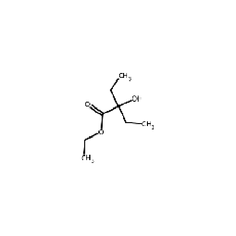 CCOC(=O)C(O)(CC)CC